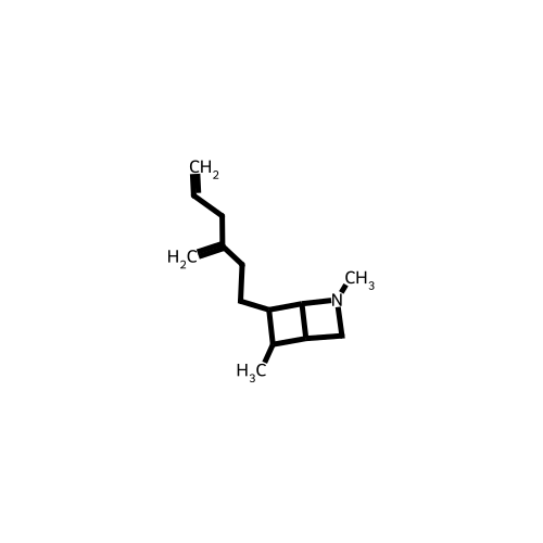 C=CCC(=C)CCC1C(C)C2CN(C)C12